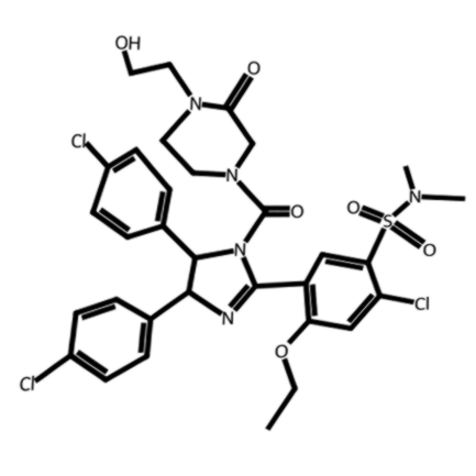 CCOc1cc(Cl)c(S(=O)(=O)N(C)C)cc1C1=NC(c2ccc(Cl)cc2)C(c2ccc(Cl)cc2)N1C(=O)N1CCN(CCO)C(=O)C1